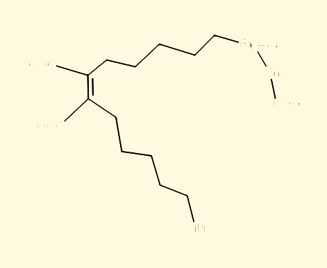 CC(C)CCCCC/C(C(=O)[O-])=C(\CCCCCC(C)C)C(=O)[O-].CCCCC[CH2][Sn+2][CH2]CCCCC